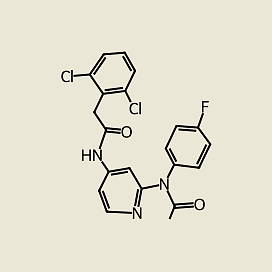 CC(=O)N(c1ccc(F)cc1)c1cc(NC(=O)Cc2c(Cl)cccc2Cl)ccn1